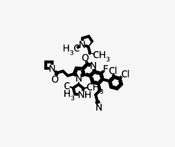 C[C@@H]1CN[C@H](C)[C@H]1n1c(CCC(=O)N2CCC2)cc2c(O[C@@H](C)[C@@H]3CCCN3C)nc3c(F)c(-c4cccc(Cl)c4Cl)c(CCC#N)cc3c21